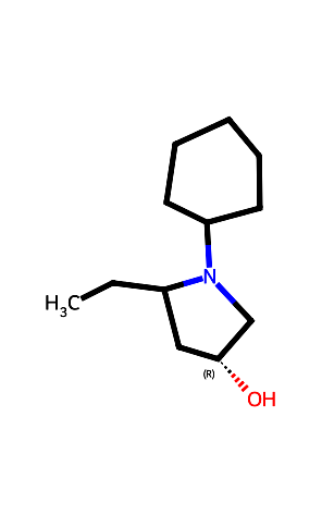 CCC1C[C@@H](O)CN1C1CCCCC1